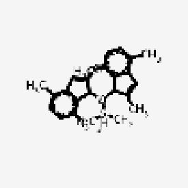 CC1=Cc2c(C)ccc(C)c2[CH]1[Zr]([CH]1C(C)=Cc2c(C)ccc(C)c21)[SiH](C)C